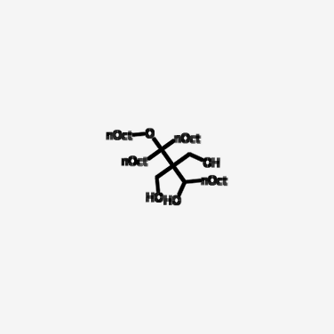 CCCCCCCCOC(CCCCCCCC)(CCCCCCCC)C(CO)(CO)C(O)CCCCCCCC